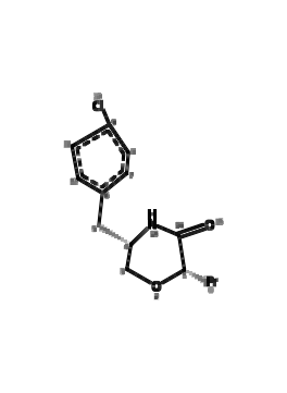 CC(C)[C@@H]1OC[C@H](Cc2ccc(Cl)cc2)NC1=O